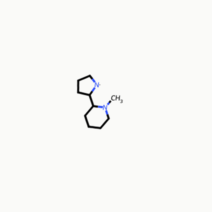 CN1CCCCC1C1CCC[N]1